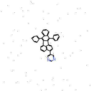 c1ccc(-c2c3c(c(-c4ccccc4)c4ccccc24)-c2ccc(-c4cncnc4)c4cccc-3c24)cc1